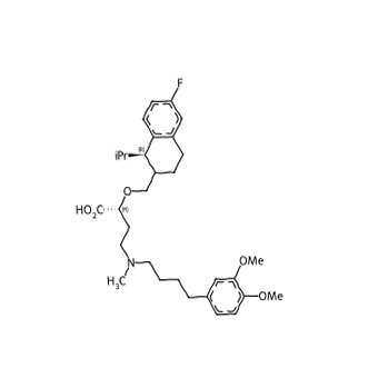 COc1ccc(CCCCN(C)CC[C@@H](OCC2CCc3cc(F)ccc3[C@@H]2C(C)C)C(=O)O)cc1OC